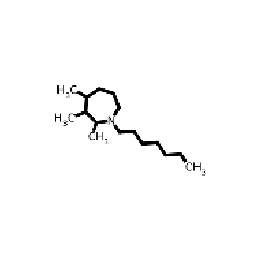 CCCCCCCN1CCCC(C)C(C)C1C